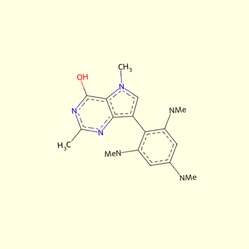 CNc1cc(NC)c(-c2cn(C)c3c(O)nc(C)nc23)c(NC)c1